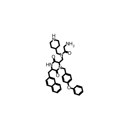 NCC(=O)N(CC1CCNCC1)CC1C(=O)NC(Cc2ccc3ccccc3c2)C(=O)N1Cc1ccc(Oc2ccccc2)cc1